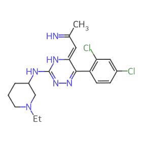 CCN1CCCC(NC2=NN=C(c3ccc(Cl)cc3Cl)/C(=C/C(C)=N)N2)C1